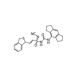 N#CN=S(=O)(/C=C/C1SCc2ccccc21)NC(=O)Nc1c2c(cc3c1CCC3)CCC2